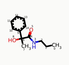 CCCNC(=O)C(C)(O)c1ccccc1